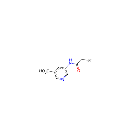 CC(C)CC(=O)Nc1cncc(C(=O)O)c1